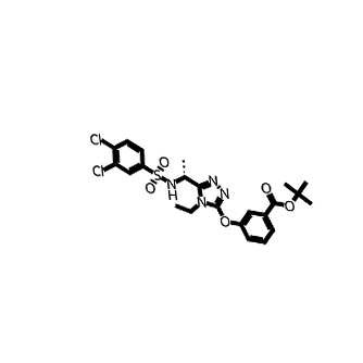 CCn1c(Oc2cccc(C(=O)OC(C)(C)C)c2)nnc1[C@@H](C)NS(=O)(=O)c1ccc(Cl)c(Cl)c1